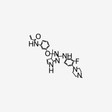 C=CC(=O)Nc1cccc(OC2(C)N=C(Nc3ccc(N4CCN(C)CC4)c(F)c3)N=C3NC=CC32)c1